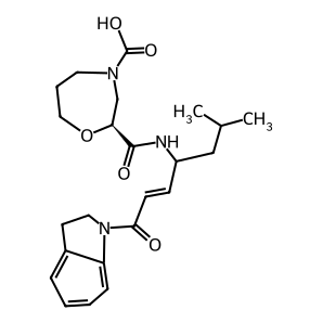 CC(C)CC(/C=C/C(=O)N1CCc2ccccc21)NC(=O)[C@@H]1CN(C(=O)O)CCCO1